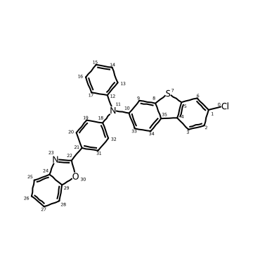 Clc1ccc2c(c1)sc1cc(N(c3ccccc3)c3ccc(-c4nc5ccccc5o4)cc3)ccc12